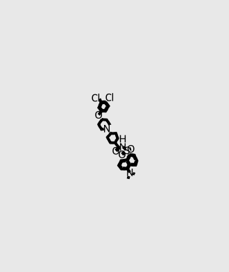 CN(C)c1cccc2c(S(=O)(=O)NC(=O)C3CCC(N4CCC(Oc5ccc(Cl)c(Cl)c5)CC4)CC3)cccc12